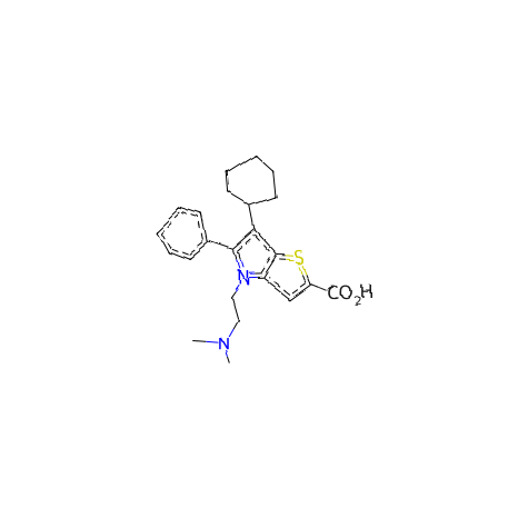 CN(C)CCn1c(-c2ccccc2)c(C2CCCCC2)c2sc(C(=O)O)cc21